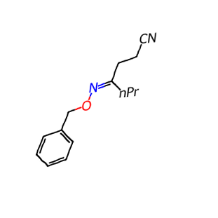 CCC/C(CCC#N)=N\OCc1ccccc1